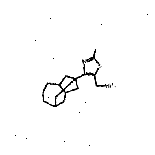 Cc1nc(C23CC4CCCC(C2)C(C4)C3)c(CN)s1